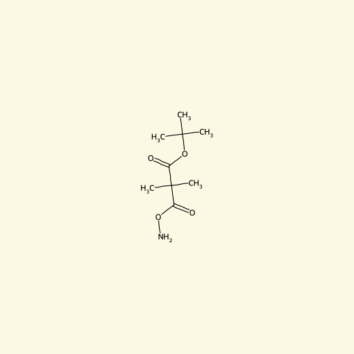 CC(C)(C)OC(=O)C(C)(C)C(=O)ON